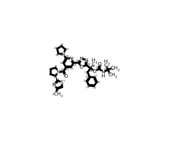 Cc1csc([C@H]2CCCN2C(=O)c2cc(-c3nnc([C@@](C)(Cc4ccccc4)OC(=O)NC(C)(C)C)o3)nc(N3CCCC3)c2)n1